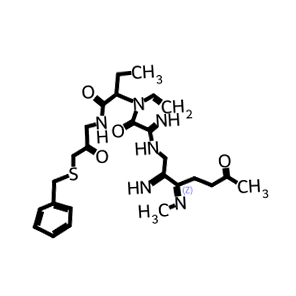 C=CN(C(=O)C(=N)NCC(=N)/C(CCC(C)=O)=N\C)C(CC)C(=O)NCC(=O)CSCc1ccccc1